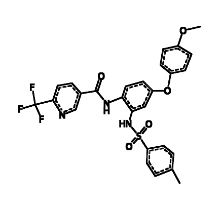 COc1ccc(Oc2ccc(NC(=O)c3ccc(C(F)(F)F)nc3)c(NS(=O)(=O)c3ccc(C)cc3)c2)cc1